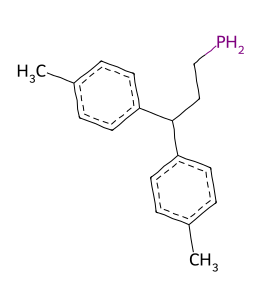 Cc1ccc(C(CCP)c2ccc(C)cc2)cc1